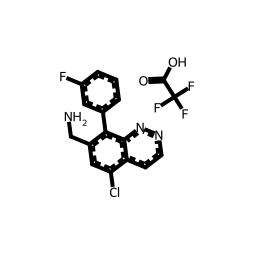 NCc1cc(Cl)c2ccnnc2c1-c1cccc(F)c1.O=C(O)C(F)(F)F